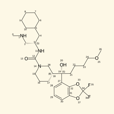 CNC[C@H](CC1CCCCC1)NC(=O)N1CCC[C@@H]([C@@](O)(CCCCOC)c2cccc3c2OC(F)(F)O3)C1